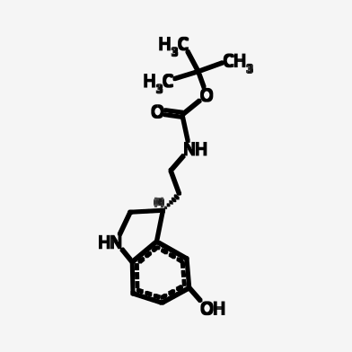 CC(C)(C)OC(=O)NCC[C@H]1CNc2ccc(O)cc21